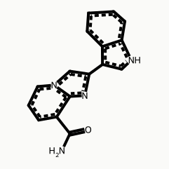 NC(=O)c1cccn2cc(-c3c[nH]c4ccccc34)nc12